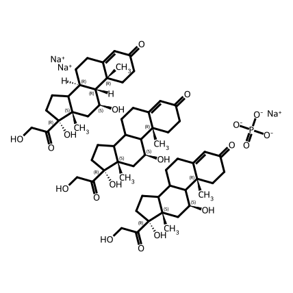 C[C@]12CCC(=O)C=C1CCC1C2[C@@H](O)C[C@@]2(C)C1CC[C@]2(O)C(=O)CO.C[C@]12CCC(=O)C=C1CCC1C2[C@@H](O)C[C@@]2(C)C1CC[C@]2(O)C(=O)CO.C[C@]12CCC(=O)C=C1CC[C@@H]1C3CC[C@](O)(C(=O)CO)[C@@]3(C)C[C@H](O)[C@H]12.O=P([O-])([O-])[O-].[Na+].[Na+].[Na+]